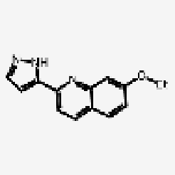 CCOc1ccc2ccc(-c3ccn[nH]3)nc2c1